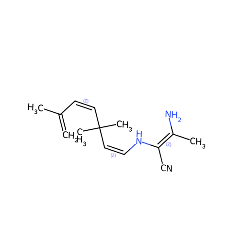 C=C(C)/C=C\C(C)(C)/C=C\N/C(C#N)=C(/C)N